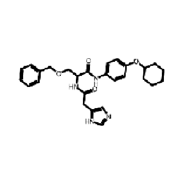 O=C(Cc1cnc[nH]1)NC(COCc1ccccc1)C(=O)Nc1ccc(OC2CCCCC2)cc1